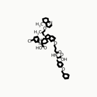 C[C@@H](COc1ccnc2c1[C@H](C)CCC2)C[C@H]1Cc2ccc(OCCCC(=O)N[C@@H](Cc3ccc(OCc4ccccc4)cc3)C(=O)O)cc2C12CCC(Nc1cccc(Cl)c1)(C(=O)O)CC2